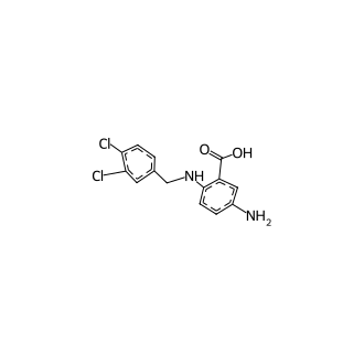 Nc1ccc(NCc2ccc(Cl)c(Cl)c2)c(C(=O)O)c1